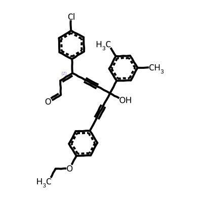 CCOc1ccc(C#CC(O)(C#C/C(=C\C=O)c2ccc(Cl)cc2)c2cc(C)cc(C)c2)cc1